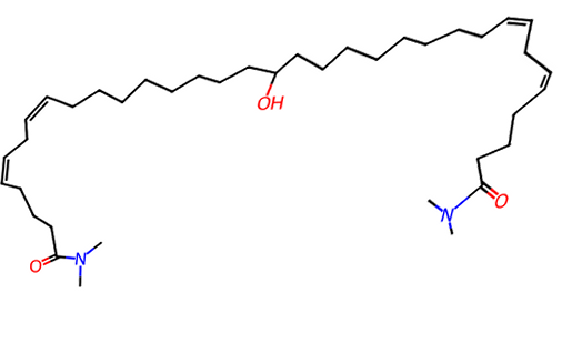 CN(C)C(=O)CCC/C=C\C/C=C\CCCCCCCCC(O)CCCCCCCC/C=C\C/C=C\CCCC(=O)N(C)C